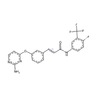 Nc1nccc(Oc2cccc(/C=C/C(=O)Nc3ccc(F)c(C(F)(F)F)c3)c2)n1